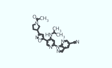 CC(=O)N1CCC(c2cc(-c3cnc(-n4ncc5cc(C#N)cnc54)cc3NC(C)C)on2)C1